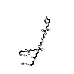 CCCCCC/C=C\COC(=O)CCCN(CCCC(=O)OC/C=C\CCCCCC)C(=O)OCCSSCCOC(=O)NCCN1CCN(C)CC1